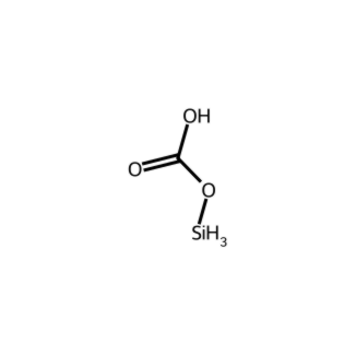 O=C(O)O[SiH3]